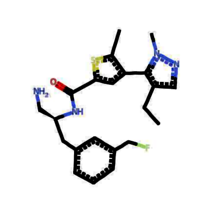 CCc1cnn(C)c1-c1cc(C(=O)N[C@H](CN)Cc2cccc(CF)c2)sc1C